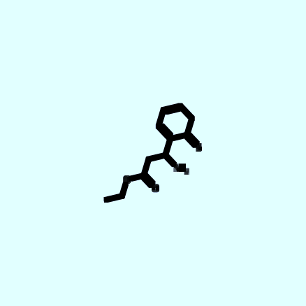 CCOC(=O)CC(N)C1=CC=CCC1=S